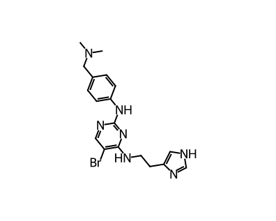 CN(C)Cc1ccc(Nc2ncc(Br)c(NCCc3c[nH]cn3)n2)cc1